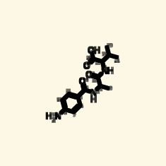 CC(NC(=O)c1ccc(N)cc1)C(=O)NC(C(=O)O)C(C)C